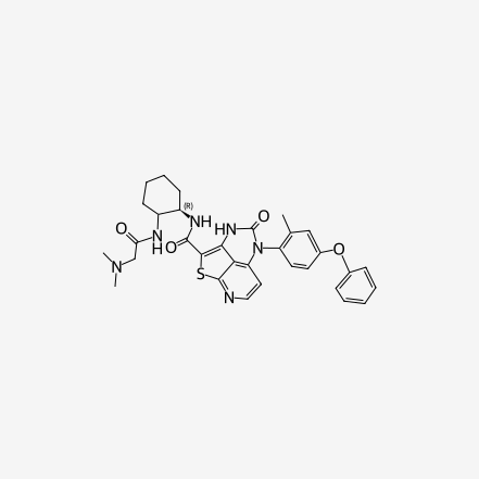 Cc1cc(Oc2ccccc2)ccc1N1C(=O)Nc2c(C(=O)N[C@@H]3CCCCC3NC(=O)CN(C)C)sc3nccc1c23